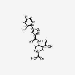 O=C(NC1CCN(C(=O)O)CC1C(=O)O)c1cc(-c2ccc(F)cc2F)on1